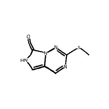 CSc1ncc2c[nH]c(=O)n2n1